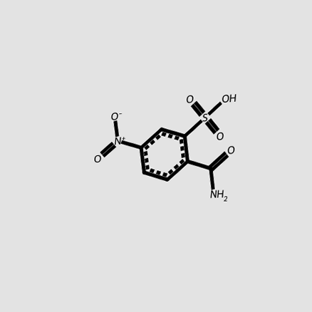 NC(=O)c1ccc([N+](=O)[O-])cc1S(=O)(=O)O